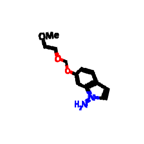 COCCOCOc1ccc2ccn(N)c2c1